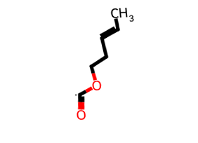 CC=CCCO[C]=O